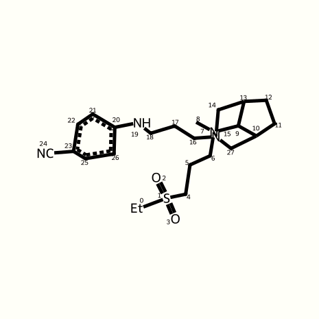 CCS(=O)(=O)CCCN(C)C1C2CCC1CN(CCCNc1ccc(C#N)cc1)C2